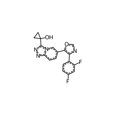 OC1(c2nnc3ccc(-c4ocnc4-c4ccc(F)cc4F)cn23)CC1